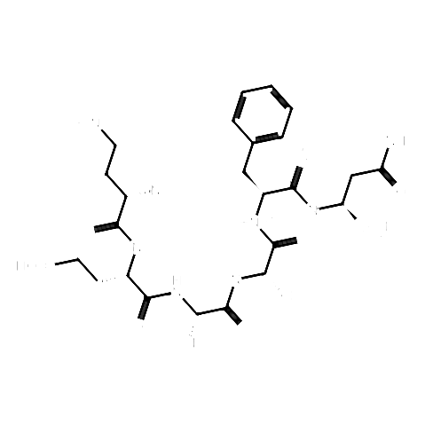 C[C@H](NC(=O)[C@H](C)NC(=O)[C@H](CCC(=O)O)NC(=O)[C@@H](N)CCN)C(=O)N[C@@H](Cc1ccccc1)C(=O)N[C@@H](CC(N)=O)C(=O)O